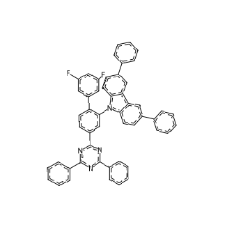 Fc1cc(F)cc(-c2ccc(-c3nc(-c4ccccc4)nc(-c4ccccc4)n3)cc2-n2c3ccc(-c4ccccc4)cc3c3cc(-c4ccccc4)ccc32)c1